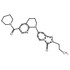 CCCn1nc2cc(N3CCCc4cc(C(=O)N5CCCCC5)cnc43)ccn2c1=O